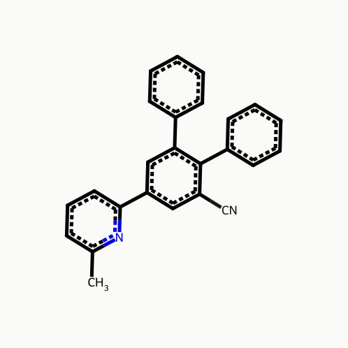 Cc1cccc(-c2cc(C#N)c(-c3ccccc3)c(-c3ccccc3)c2)n1